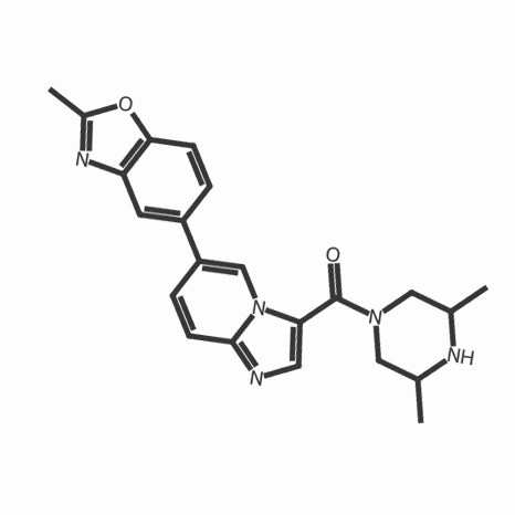 Cc1nc2cc(-c3ccc4ncc(C(=O)N5CC(C)NC(C)C5)n4c3)ccc2o1